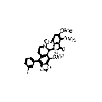 COc1ccc2c(c1OC)C(=O)OC2C1c2c(c(-c3cccc(F)c3)c3c(c2OC)OCO3)CCN1C